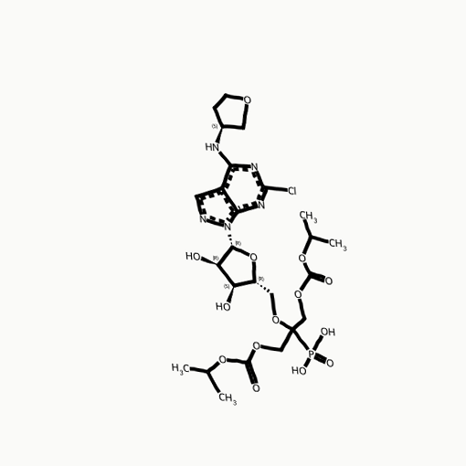 CC(C)OC(=O)OCC(COC(=O)OC(C)C)(OC[C@H]1O[C@@H](n2ncc3c(N[C@H]4CCOC4)nc(Cl)nc32)[C@H](O)[C@@H]1O)P(=O)(O)O